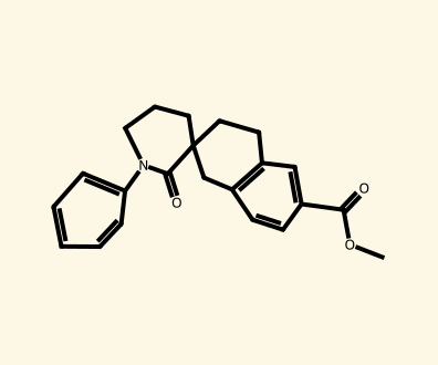 COC(=O)c1ccc2c(c1)CCC1(CCCN(c3ccccc3)C1=O)C2